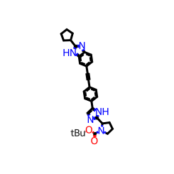 CC(C)(C)OC(=O)N1CCCC1c1ncc(-c2ccc(C#Cc3ccc4nc(C5CCCC5)[nH]c4c3)cc2)[nH]1